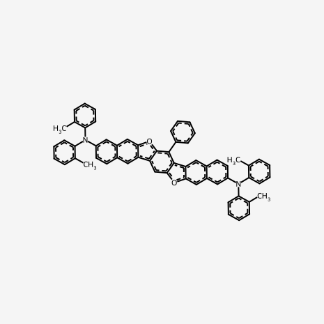 Cc1ccccc1N(c1ccc2cc3c(cc2c1)oc1c(-c2ccccc2)c2c(cc13)oc1cc3cc(N(c4ccccc4C)c4ccccc4C)ccc3cc12)c1ccccc1C